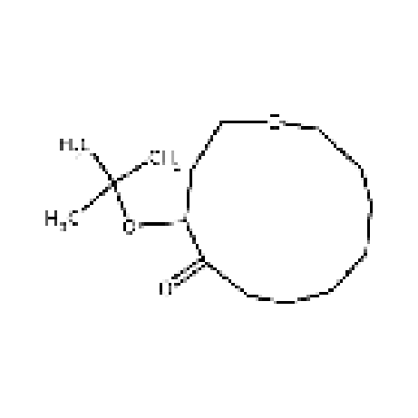 CC(C)(C)OC1CCCCCCCCCCC1=O